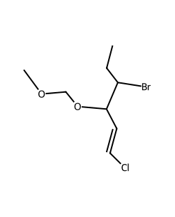 CCC(Br)C(/C=C/Cl)OCOC